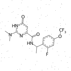 CC(NC(=O)c1cc(=O)[nH]c(N(C)C)n1)c1ccc(OC(F)(F)F)cc1F